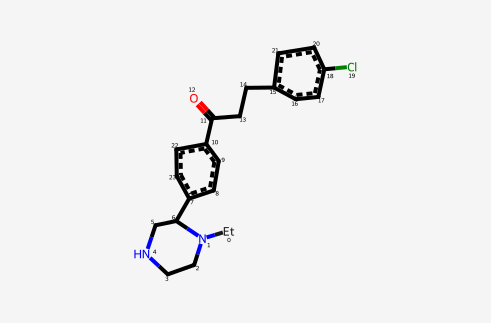 CCN1CCNCC1c1ccc(C(=O)CCc2ccc(Cl)cc2)cc1